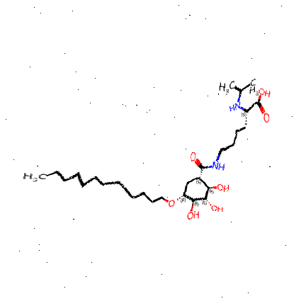 CCCCCCCCCCCCO[C@@H]1C[C@H](C(=O)NCCCC[C@H](NC(C)C)C(=O)O)[C@@H](O)[C@H](O)[C@H]1O